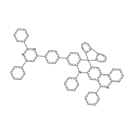 c1ccc(-c2cc(-c3ccc(-c4ccc5c(c4)N(c4ccccc4)c4cc6c(-c7ccccc7)nc7ccccc7c6cc4C54c5ccccc5-c5ccccc54)cc3)nc(-c3ccccc3)n2)cc1